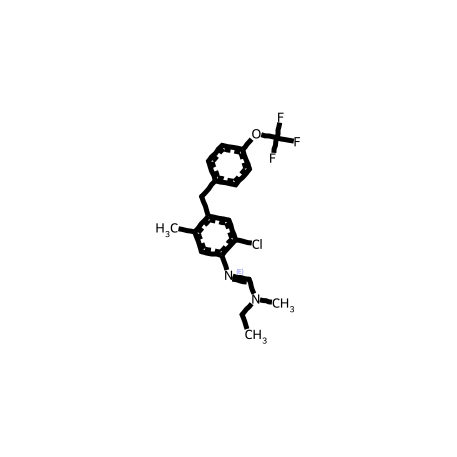 CCN(C)/C=N/c1cc(C)c(Cc2ccc(OC(F)(F)F)cc2)cc1Cl